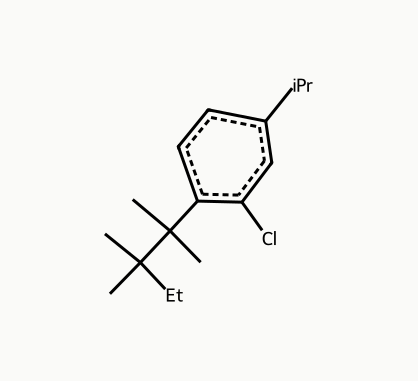 CCC(C)(C)C(C)(C)c1ccc(C(C)C)cc1Cl